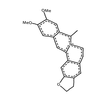 COc1cc2cc3c4cc5c(cc4cc[n+]3c(C)c2cc1OC)CCO5